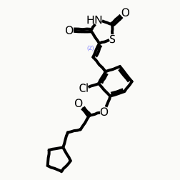 O=C(CCC1CCCC1)Oc1cccc(/C=C2\SC(=O)NC2=O)c1Cl